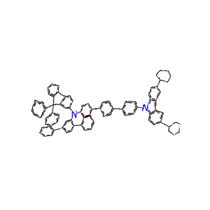 c1ccc(-c2ccc(-c3ccccc3)c(N(c3ccc(-c4ccc(-c5ccc(-n6c7ccc(C8CCCCC8)cc7c7cc(C8CCCCC8)ccc76)cc5)cc4)cc3)c3ccc4c(c3)C(c3ccccc3)(c3ccccc3)c3ccccc3-4)c2)cc1